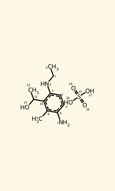 CCNc1ccc(N)c(C)c1C(C)O.O=S(=O)(O)O